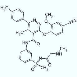 CNCC(=O)N=[S@](C)(=O)c1cccc(NC(=O)c2c(Oc3ccc(C#N)cc3OC)nnc(-c3ccc(C)cc3)c2C)c1